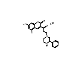 Cc1cc(O)cc2oc(=O)c(C(=O)CCN3CCNC(c4ccccc4)C3)cc12.Cl